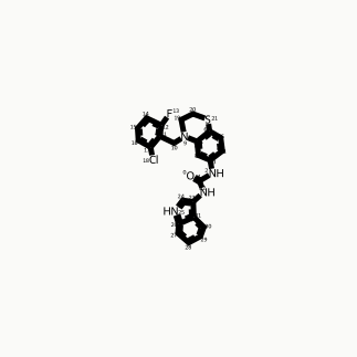 O=C(Nc1ccc2c(c1)N(Cc1c(F)cccc1Cl)CCS2)Nc1c[nH]c2ccccc12